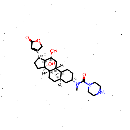 CN(C(=O)N1CCNCC1)[C@H]1CC[C@@]2(C)[C@H](CC[C@@H]3[C@@H]2C[C@@H](O)[C@]2(C)[C@@H](C4=CC(=O)OC4)CC[C@]32O)C1